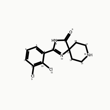 O=C1NC(c2cccc(Cl)c2Cl)=NC12CCNCC2